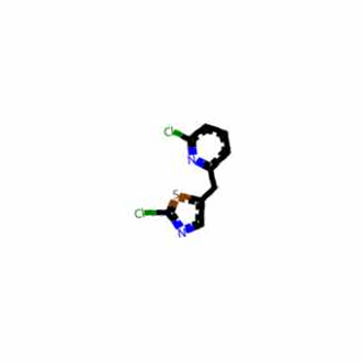 Clc1cccc([CH]c2cnc(Cl)s2)n1